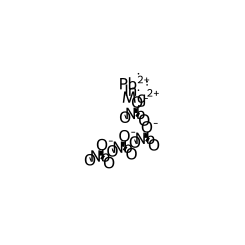 [In].[Mg+2].[O]=[Nb](=[O])[O-].[O]=[Nb](=[O])[O-].[O]=[Nb](=[O])[O-].[O]=[Nb](=[O])[O-].[Pb+2]